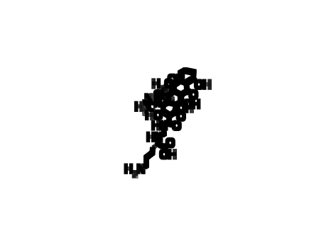 CN(C)[C@@H]1C(O)=C(C(=O)NCN[C@@H](CCCCN)C(=O)O)C(=O)[C@@]2(O)C(O)=C3C(=O)c4c(O)cccc4[C@@](C)(O)[C@H]3C[C@H]12.N#N